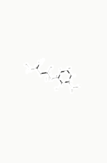 COC(=O)/C=C(\C)Nc1cccc(OC)c1C